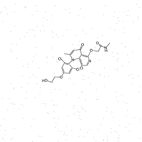 CNC(=O)COc1ncc(Cl)c2c1c(=O)cc(C)n2-c1c(Cl)cc(OCCO)cc1Cl